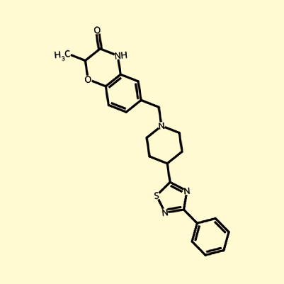 CC1Oc2ccc(CN3CCC(c4nc(-c5ccccc5)ns4)CC3)cc2NC1=O